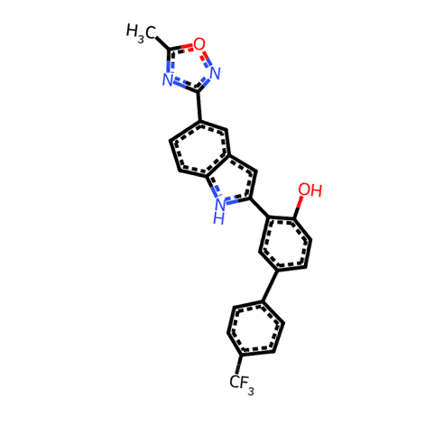 Cc1nc(-c2ccc3[nH]c(-c4cc(-c5ccc(C(F)(F)F)cc5)ccc4O)cc3c2)no1